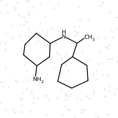 CC(NC1CCCC(N)C1)C1CCCCC1